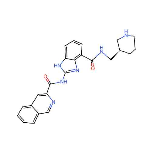 O=C(Nc1nc2c(C(=O)NC[C@@H]3CCCNC3)cccc2[nH]1)c1cc2ccccc2cn1